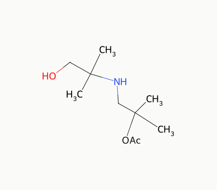 CC(=O)OC(C)(C)CNC(C)(C)CO